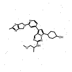 COCC(C)Nc1ncc2c(-c3ccnc(N4Cc5nc(C)sc5C4)c3)cc(C3CCC(O)CC3)n2n1